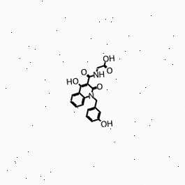 O=C(O)CNC(=O)c1c(O)c2ccccc2n(Cc2cccc(O)c2)c1=O